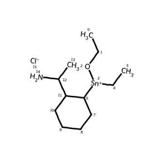 CC[O][Sn+]([CH2]C)[CH]1CCCCC1C(C)N.[Cl-]